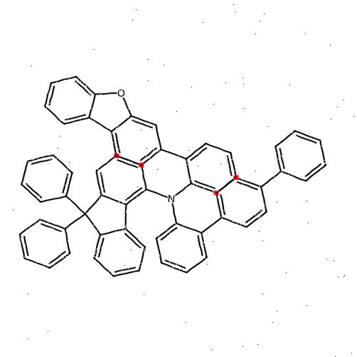 c1ccc(-c2ccc(-c3ccccc3N(c3ccccc3-c3ccc4c(c3)oc3ccccc34)c3cccc4c3-c3ccccc3C4(c3ccccc3)c3ccccc3)cc2)cc1